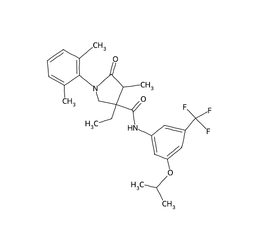 CCC1(C(=O)Nc2cc(OC(C)C)cc(C(F)(F)F)c2)CN(c2c(C)cccc2C)C(=O)C1C